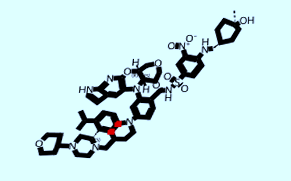 CC(C)c1ccccc1[C@H]1CN(C2CCOCC2)CCN1CC1CCN(c2ccc(C(=O)NS(=O)(=O)c3ccc(NC[C@H]4CC[C@](C)(O)CC4)c([N+](=O)[O-])c3)c(N3c4cc5cc[nH]c5nc4O[C@H]4COCC[C@@H]43)c2)CC1